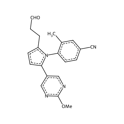 COc1ncc(-c2ccc(CCC=O)n2-c2ccc(C#N)cc2C)cn1